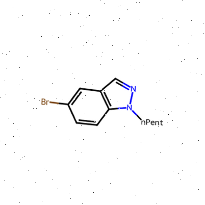 CCCCCn1ncc2cc(Br)ccc21